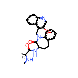 CN[C@@H](C)C(=O)NC1CCc2ccccc2N(Cc2c(OC)cnc3ccccc23)C1=O